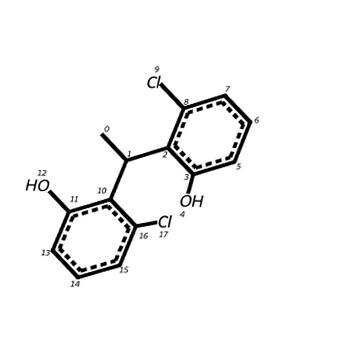 CC(c1c(O)cccc1Cl)c1c(O)cccc1Cl